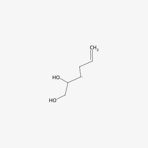 C=CC[CH]C(O)CO